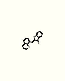 O=C1/C(=C/c2cccc3cccnc23)Oc2ccccc21